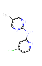 N#Cc1cnc(Nc2cc(Cl)ccn2)nc1